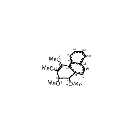 COC1=C(OC)C(OC)C(OC)c2ccc3ccccc3c21